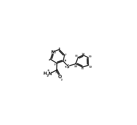 NC(=O)c1cnccc1Sc1ccccc1